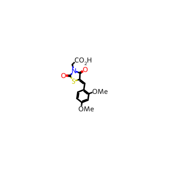 COc1ccc(/C=C2\SC(=O)N(CC(=O)O)C2=O)c(OC)c1